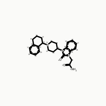 NC(=O)Cn1c(=O)n(C2CCN(C3CCCc4ccccc43)CC2)c2ccccc21